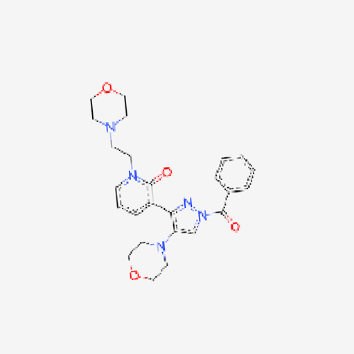 O=C(c1ccccc1)n1cc(N2CCOCC2)c(-c2cccn(CCN3CCOCC3)c2=O)n1